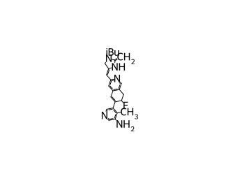 C=C1N/C(=C\c2cc3c(cn2)CC(F)C(c2cncc(N)c2C)=C3)CN1C(C)CC